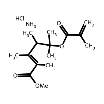 C=C(C)C(=O)OC(C)(C)C(C)C(C)=C(C)C(=O)OC.Cl.N